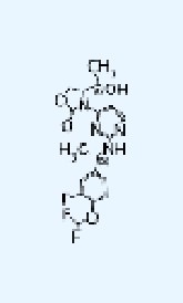 C[C@H](Nc1nccc(N2C(=O)OCC2[C@@H](C)O)n1)c1ccc(OC(F)F)c(F)c1